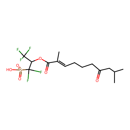 C/C(=C\CCCC(=O)CC(C)C)C(=O)OC(C(F)(F)F)C(F)(F)S(=O)(=O)O